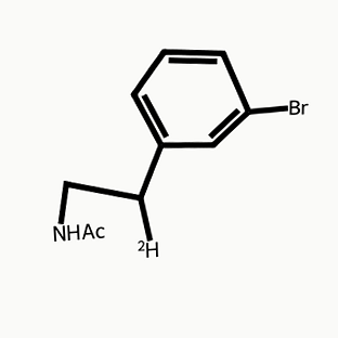 [2H]C(CNC(C)=O)c1cccc(Br)c1